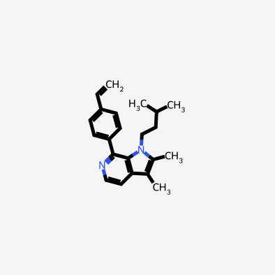 C=Cc1ccc(-c2nccc3c(C)c(C)n(CCC(C)C)c23)cc1